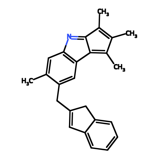 CC1=C(C)C(C)=C2C1=Nc1cc(C)c(CC3=Cc4ccccc4C3)cc12